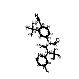 Cc1ccnc(N(C(=S)N(C=O)c2ccc(C#N)c(C(F)(F)F)c2)C(C)(C)C)c1